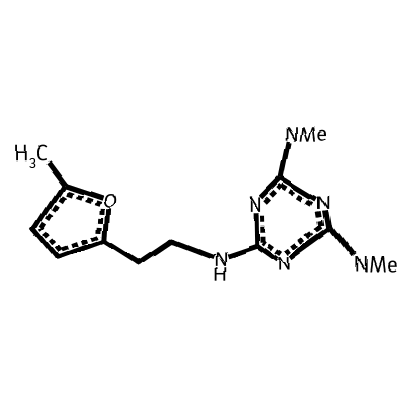 CNc1nc(NC)nc(NCCc2ccc(C)o2)n1